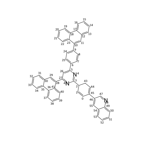 C1=CC(c2nc(-c3ccc(-c4cc5ccccc5c5ccccc45)cc3)cc(-c3cc4ccccc4c4ccccc34)n2)CC=C1c1cnc2ccccc2c1